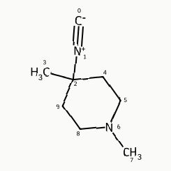 [C-]#[N+]C1(C)CCN(C)CC1